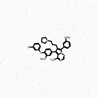 COc1cccc(-c2c(CCCN3CCCC3)c(-c3ccc(Oc4cccc(Cl)c4)c(OC)c3)c3c(N)ncnn23)c1